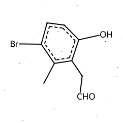 Cc1c(Br)ccc(O)c1CC=O